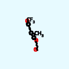 CC1c2cc(C#Cc3ccc(OC(F)(F)F)cc3)ccc2-c2ccc(OCCCCC3CO3)cc21